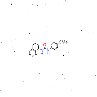 CSc1ccc(NC(=O)NC2CCCc3ccccc32)cc1